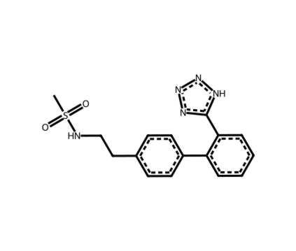 CS(=O)(=O)NCCc1ccc(-c2ccccc2-c2nnn[nH]2)cc1